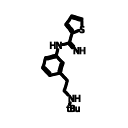 CC(C)(C)NCCc1cccc(NC(=N)c2cccs2)c1